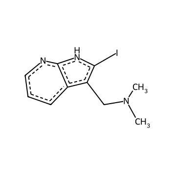 CN(C)Cc1c(I)[nH]c2ncccc12